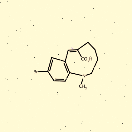 CN1CCCC/C(C(=O)O)=C/c2cc(Br)ccc21